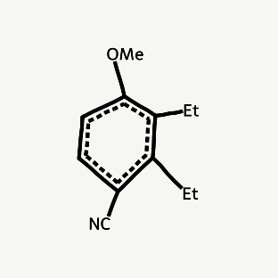 CCc1c(C#N)ccc(OC)c1CC